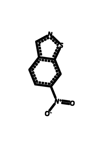 O=[N+]([O-])c1ccc2cnsc2c1